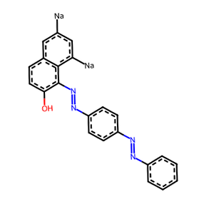 Oc1ccc2c[c]([Na])c[c]([Na])c2c1N=Nc1ccc(N=Nc2ccccc2)cc1